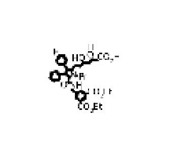 CCOC(=O)c1cc(CNC(=O)c2c(-c3ccccc3)c(-c3ccc(F)cc3)c(CCC(O)CC(O)CC(=O)O)n2C(C)C)cc(C(=O)OCC)c1